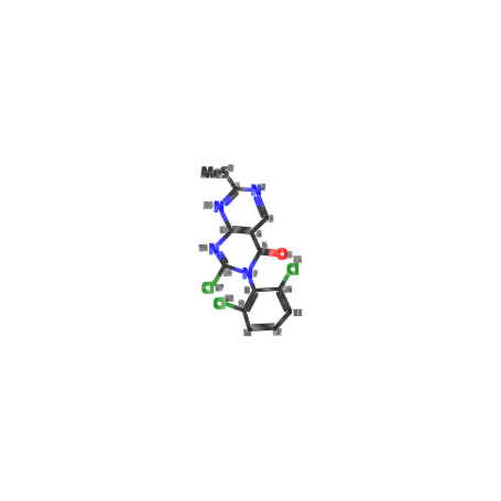 CSc1ncc2c(=O)n(-c3c(Cl)cccc3Cl)c(Cl)nc2n1